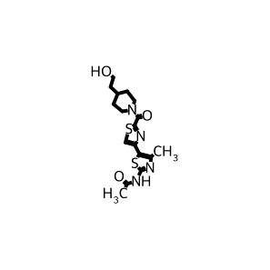 CC(=O)Nc1nc(C)c(-c2csc(C(=O)N3CCC(CCO)CC3)n2)s1